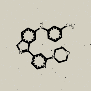 Cc1cccc(Nc2ccc3c(c2)C(c2ccnc(N4CCOCC4)c2)=NC3)c1